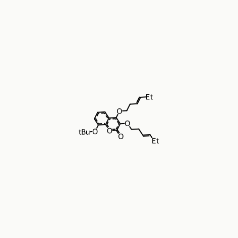 CCC=CCCOc1c(OCCC=CCC)c2cccc(OC(C)(C)C)c2oc1=O